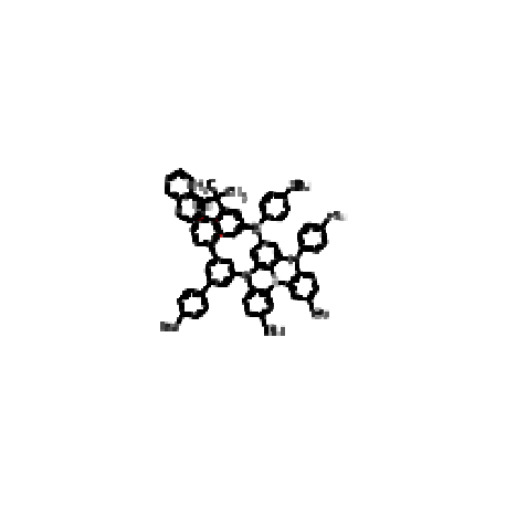 CC(C)(C)c1ccc(-c2cc(-c3ccc(C(C)(C)C)cc3)cc(N3c4ccc(C(C)(C)C)cc4B4c5cc(C(C)(C)C)ccc5N(c5ccc(C(C)(C)C)cc5)c5cc(N(c6ccc(C(C)(C)C)cc6)c6ccc7c(c6)C(C)(C)c6c-7ccc7ccccc67)cc3c54)c2)cc1